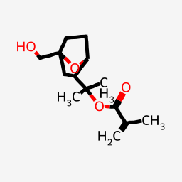 C=C(C)C(=O)OC(C)(C)C1CC2(CO)CCC1O2